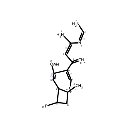 C=C(/C=C(N)\N=C/N)C(=C/C)/C(=C\C1C(C)CC1F)OC